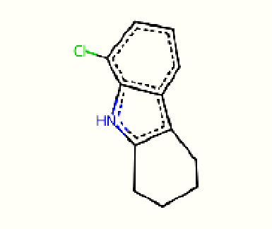 Clc1cccc2c3c([nH]c12)CCCC3